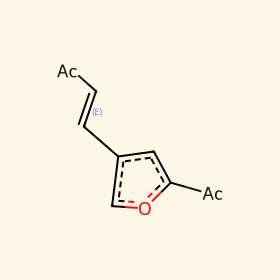 CC(=O)/C=C/c1coc(C(C)=O)c1